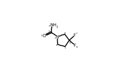 NC(=O)N1CCC(F)(F)C1